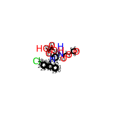 O=C(COC1CCOC1)NC1CCN(CC23CC(c4ccccc42)c2ccc(Cl)cc23)CC1.O=C(O)C(=O)O